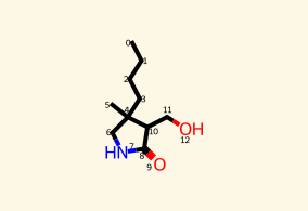 CCCCC1(C)CNC(=O)C1CO